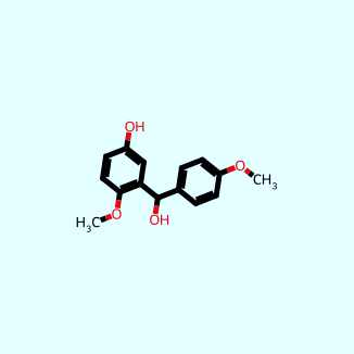 COc1ccc(C(O)c2cc(O)ccc2OC)cc1